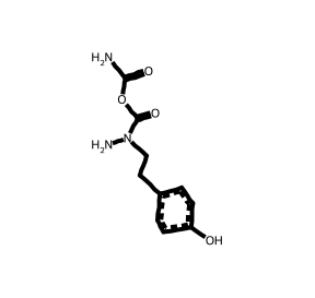 NC(=O)OC(=O)N(N)CCc1ccc(O)cc1